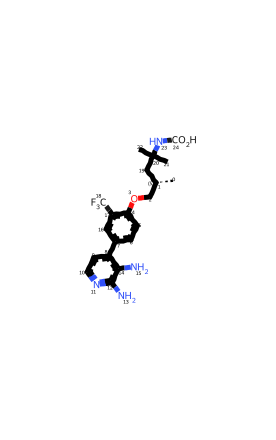 C[C@H](COc1ccc(-c2ccnc(N)c2N)cc1C(F)(F)F)CC(C)(C)NC(=O)O